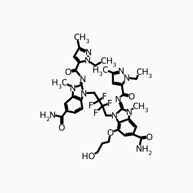 CCn1nc(C)cc1C(=O)/N=c1\n(C)c2cc(C(N)=O)ccc2n1CC(F)(F)C(F)(F)Cn1/c(=N/C(=O)c2cc(C)nn2CC)n(C)c2cc(C(N)=O)cc(OCCCO)c21